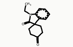 CCN1C(=O)C2(CCC(=O)CC2)c2ccccc21